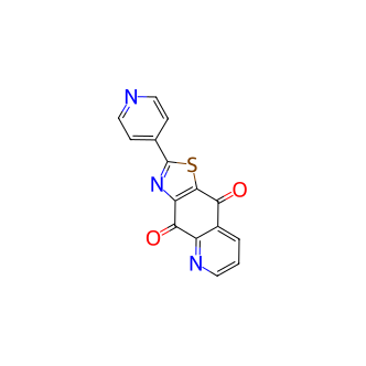 O=C1c2ncccc2C(=O)c2sc(-c3ccncc3)nc21